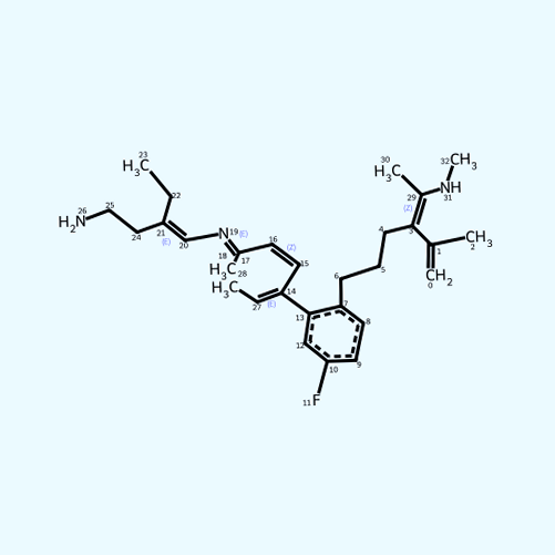 C=C(C)/C(CCCc1ccc(F)cc1C(/C=C\C(C)=N\C=C(/CC)CCN)=C/C)=C(/C)NC